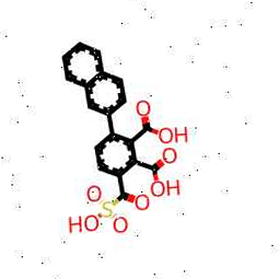 O=C(O)c1c(C(=O)S(=O)(=O)O)ccc(-c2ccc3ccccc3c2)c1C(=O)O